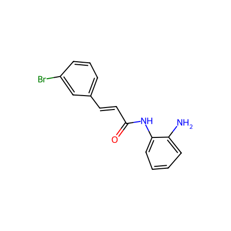 Nc1ccccc1NC(=O)C=Cc1cccc(Br)c1